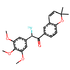 COc1cc(C([18F])C(=O)c2ccc3c(c2)C=CC(C)(C)O3)cc(OC)c1OC